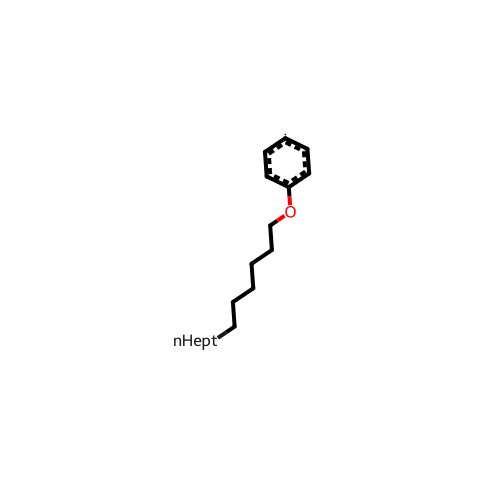 CCCCCCCCCCCCCOc1cc[c]cc1